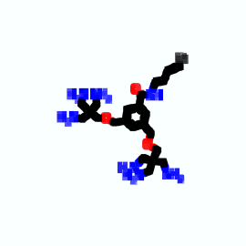 CCC=CC=CNC(=O)c1cc(COCC(CN)(CN)CN)cc(COCC(CN)(CN)CN)c1